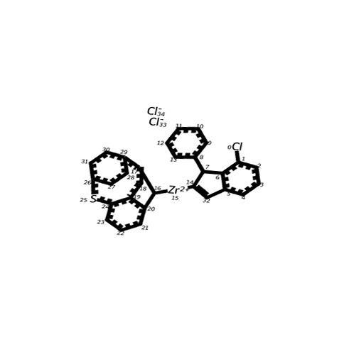 Clc1cccc2c1C(c1ccccc1)[C]([Zr+2][CH]1c3cc4c1cccc4sc1ccc3cc1)=C2.[Cl-].[Cl-]